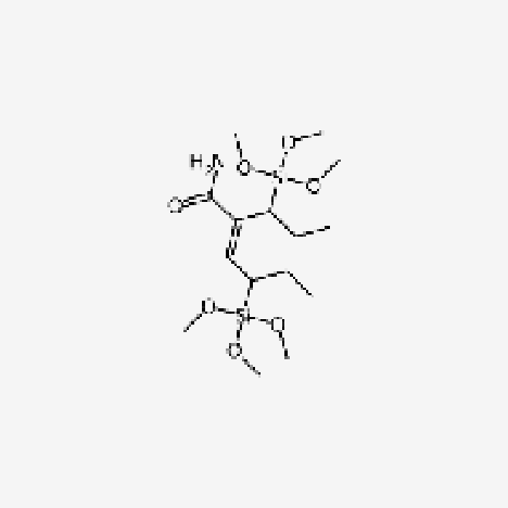 CCC(C=C(C(N)=O)C(CC)[Si](OC)(OC)OC)[Si](OC)(OC)OC